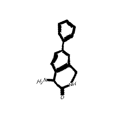 NC1C(=O)NCc2cc(-c3ccccc3)ccc21